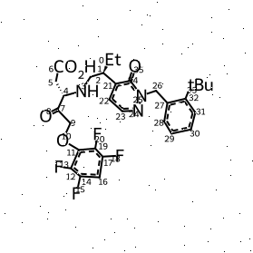 CC[C@H](CN[C@@H](CC(=O)O)C(=O)COc1c(F)c(F)cc(F)c1F)c1ccnn(Cc2ccccc2C(C)(C)C)c1=O